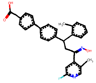 Cc1cnc(F)cc1C(CC(c1ccc(-c2ccc(C(=O)O)cc2)cc1)c1ccccc1C)=NO